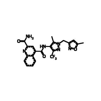 Cc1cc(Cn2nc(C(F)(F)F)c(NC(=O)c3cc(C(N)=O)nc4ccccc34)c2C)no1